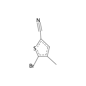 Cc1cc(C#N)sc1Br